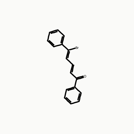 O=C(C=CC=C(Br)c1ccccc1)c1ccccc1